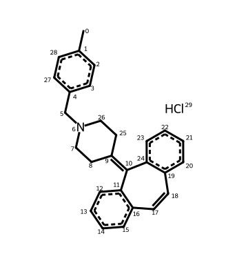 Cc1ccc(CN2CCC(=C3c4ccccc4C=Cc4ccccc43)CC2)cc1.Cl